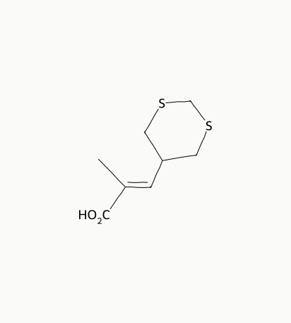 CC(=CC1CSCSC1)C(=O)O